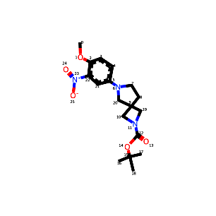 COc1ccc(N2CCC3(CN(C(=O)OC(C)(C)C)C3)C2)cc1[N+](=O)[O-]